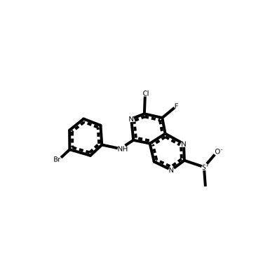 C[S+]([O-])c1ncc2c(Nc3cccc(Br)c3)nc(Cl)c(F)c2n1